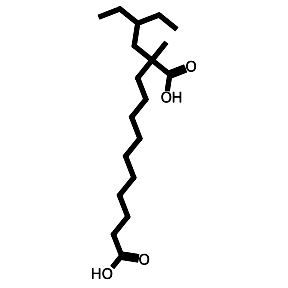 CCC(CC)CC(C)(CCCCCCCCCC(=O)O)C(=O)O